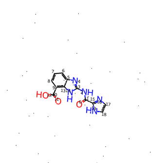 O=C(Nc1nc2cccc(C(=O)O)c2[nH]1)c1ncc[nH]1